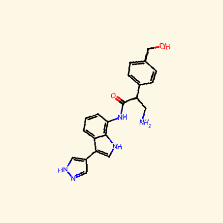 NCC(C(=O)Nc1cccc2c(-c3cn[nH]c3)c[nH]c12)c1ccc(CO)cc1